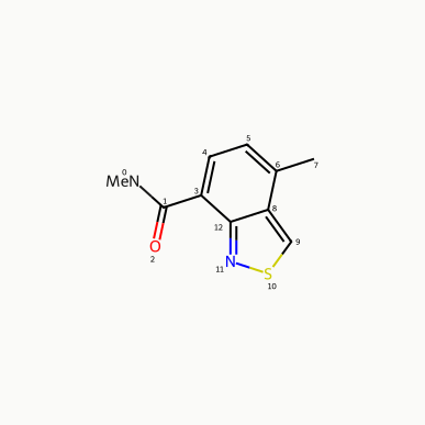 CNC(=O)c1ccc(C)c2csnc12